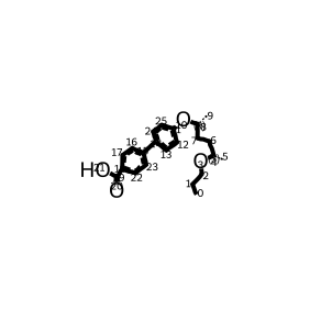 CCCO[C@@H](C)CC[C@@H](C)Oc1ccc(-c2ccc(C(=O)O)cc2)cc1